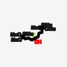 CO[Si](CCCC(O)(F)CCC[Si](OC)(OC)OC)(OC)OC